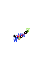 CN(C)c1nc(C2CC2)nc(S(=O)(=O)c2cc3[nH]c(-c4ccc(C(F)(F)F)cc4)nc3cc2F)n1